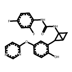 O=C(Nc1ccc(F)cc1F)NC12CC1C2c1cc(Oc2ccncn2)ccc1O